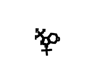 CC(C)(C)n1nc(C(F)(F)F)c2c1COCC2